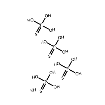 OP(O)(O)=S.OP(O)(O)=S.OP(O)(O)=S.OP(O)(O)=S.[KH]